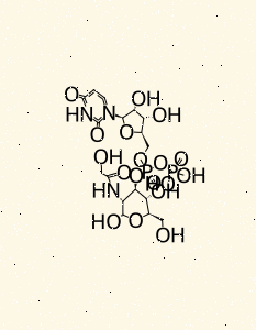 O=C(CO)N[C@@H]1[C@@H](OP(=O)(OC[C@H]2O[C@@H](n3ccc(=O)[nH]c3=O)[C@H](O)[C@@H]2O)OP(=O)(O)O)[C@H](O)[C@@H](CO)O[C@@H]1O